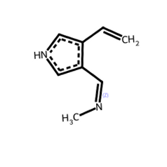 C=Cc1c[nH]cc1/C=N\C